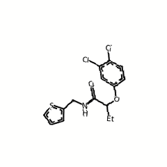 CCC(Oc1ccc(Cl)c(Cl)c1)C(=O)NCc1cccs1